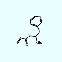 C=CC(=O)OC(CCCC)Oc1ccccc1